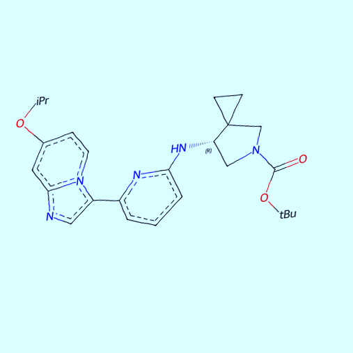 CC(C)Oc1ccn2c(-c3cccc(N[C@H]4CN(C(=O)OC(C)(C)C)CC45CC5)n3)cnc2c1